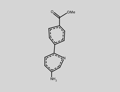 COC(=O)c1ccc(-c2ccc(N)cn2)cc1